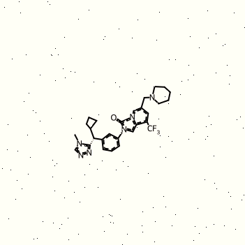 Cn1cnnc1[C@@H](c1cccc(-n2cc3c(C(F)(F)F)cc(CN4CCCCC4)cn3c2=O)c1)C1CCC1